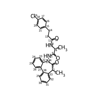 CC1C(=O)N(NC(=O)[C@H](C)NC(=O)CCc2ccc(Cl)cc2)c2ccccc2-c2ccccc21